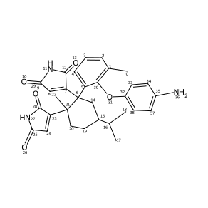 Cc1cccc(C2(C3=CC(=O)NC3=O)CC(C(C)C)CCC2(C)C2=CC(=O)NC2=O)c1Oc1ccc(N)cc1